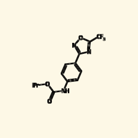 CC(C)OC(=O)Nc1ccc(-c2noc(C(F)(F)F)n2)cc1